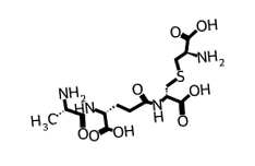 C[C@H](N)C(=O)N[C@H](CCC(=O)N[C@H](CSC[C@H](N)C(=O)O)C(=O)O)C(=O)O